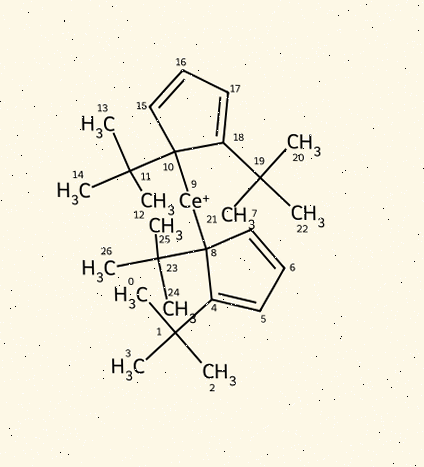 CC(C)(C)C1=CC=C[C]1([Ce+][C]1(C(C)(C)C)C=CC=C1C(C)(C)C)C(C)(C)C